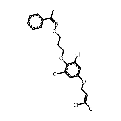 CC(=NOCCCOc1c(Cl)cc(OCC=C(Cl)Cl)cc1Cl)c1ccccc1